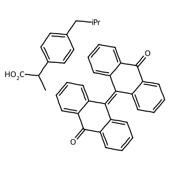 CC(C)Cc1ccc(C(C)C(=O)O)cc1.O=C1c2ccccc2C(=C2c3ccccc3C(=O)c3ccccc32)c2ccccc21